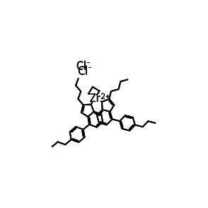 CCCCC1=Cc2c(-c3ccc(CCC)cc3)cccc2[CH]1[Zr+2]1([CH]2C(CCCC)=Cc3c(-c4ccc(CCC)cc4)cccc32)[CH2]C[CH2]1.[Cl-].[Cl-]